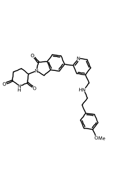 COc1ccc(CCNCc2ccnc(-c3ccc4c(c3)CN(C3CCC(=O)NC3=O)C4=O)c2)cc1